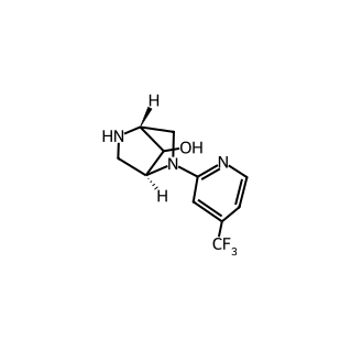 OC1[C@H]2CN(c3cc(C(F)(F)F)ccn3)[C@H]1CN2